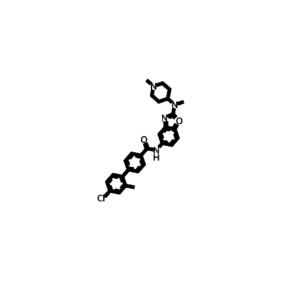 Cc1cc(Cl)ccc1-c1ccc(C(=O)Nc2ccc3oc(N(C)C4CCN(C)CC4)nc3c2)cc1